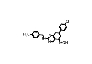 Cc1ccc(CNc2ncc3c(n2)CC(c2ccc(Cl)cc2)C/C3=N\O)cc1